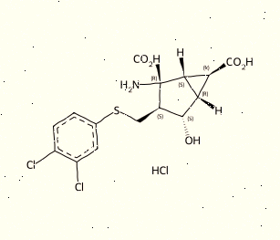 Cl.N[C@]1(C(=O)O)[C@@H]2[C@@H](C(=O)O)[C@@H]2[C@H](O)[C@H]1CSc1ccc(Cl)c(Cl)c1